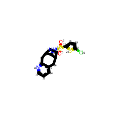 O=S(=O)(NC1C2CCC1Cc1ncccc1C2)c1ccc(Cl)s1